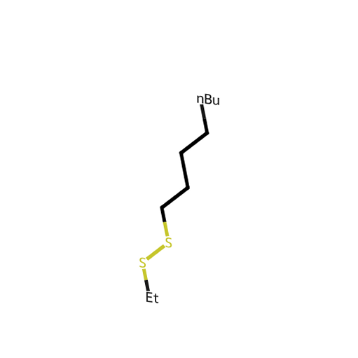 [CH2]CSSCCCCCCCC